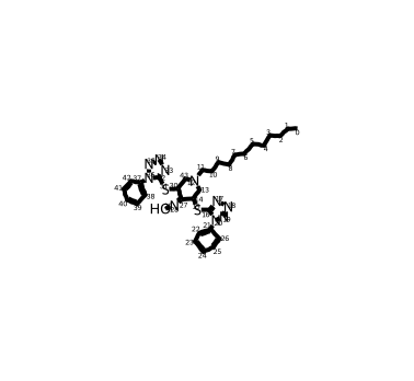 CCCCCCCCCCCCN1CC(Sc2nnnn2-c2ccccc2)C(=NO)C(Sc2nnnn2-c2ccccc2)C1